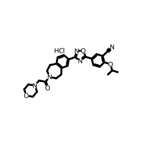 CC(C)Oc1ccc(-c2nc(-c3ccc4c(c3)CCN(C(=O)CN3CCOCC3)CC4)no2)cc1C#N.Cl